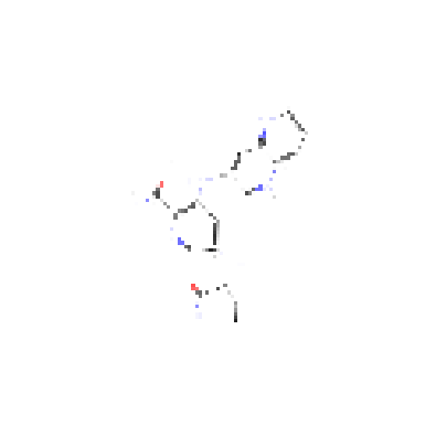 CCC(Nc1cnc(C(N)=O)c(Nc2cnc3cccnc3c2)c1)C(N)=O